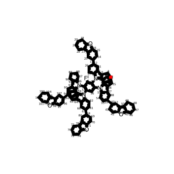 Fc1c(-n2c3ccccc3c3cc(-c4ccc5oc6ccccc6c5c4)ccc32)c(-n2c3ccccc3c3cc(-c4ccc5oc6ccccc6c5c4)ccc32)cc(-n2c3ccccc3c3cc(-c4ccc5oc6ccccc6c5c4)ccc32)c1-n1c2ccccc2c2cc(-c3ccc4oc5ccccc5c4c3)ccc21